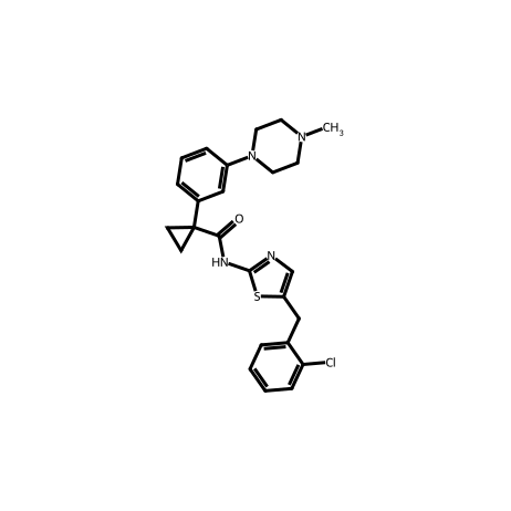 CN1CCN(c2cccc(C3(C(=O)Nc4ncc(Cc5ccccc5Cl)s4)CC3)c2)CC1